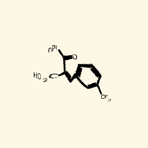 CCCC(=O)C(=Cc1cccc(C(F)(F)F)c1)C(=O)O